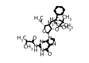 CC[C@H]1O[C@@H](n2cnc3c(=O)[nH]c(NC(=O)C(C)C)nc32)[C@@H](O[Si](C)(C)C(C)(C)C)C1CCc1ccccc1